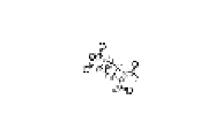 CC(=O)C1C(C(C)=O)C2C3CC(C4C(=O)OC(=O)C34)C12